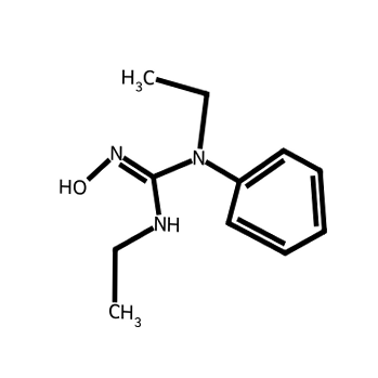 CCN/C(=N\O)N(CC)c1ccccc1